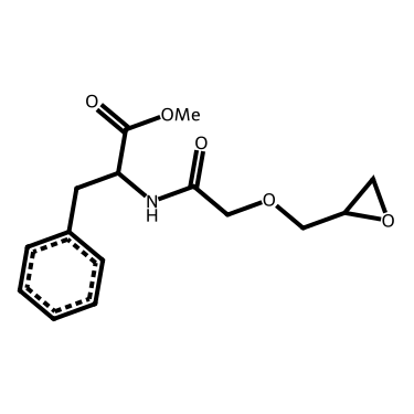 COC(=O)C(Cc1ccccc1)NC(=O)COCC1CO1